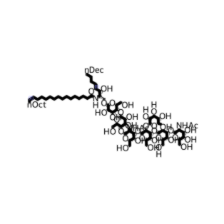 CCCCCCCC/C=C\CCCCCCCCCCCCCC(=O)N[C@@H](CO[C@@H]1OC(CO)[C@@H](O[C@@H]2OC(CO)[C@H](O[C@@H]3OC(CO)[C@H](O)[C@H](O[C@@H]4OC(CO)[C@H](O)[C@H](O[C@H]5OC(CO)[C@H](O)[C@H](O[C@@H]6OC(CO)[C@H](O)[C@H](O)C6NC(C)=O)C5O)C4O[C@H]4OC(C)[C@@H](O)C(O)[C@@H]4O)C3NC(C)=O)[C@H](O)C2O)[C@H](O)C1O)[C@H](O)/C=C/CCCCCCCCCCCCC